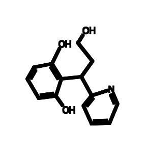 OCCC(c1ccccn1)c1c(O)cccc1O